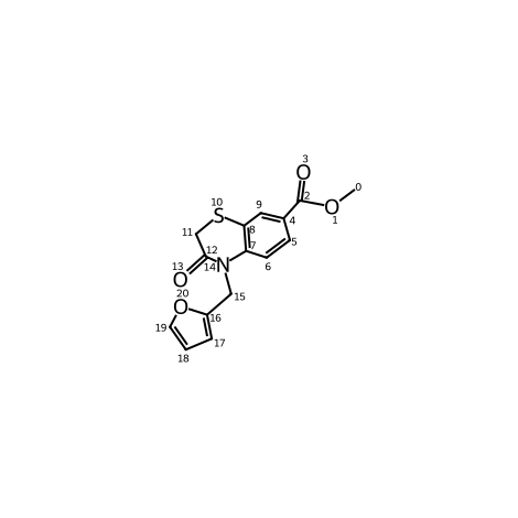 COC(=O)c1ccc2c(c1)SCC(=O)N2Cc1ccco1